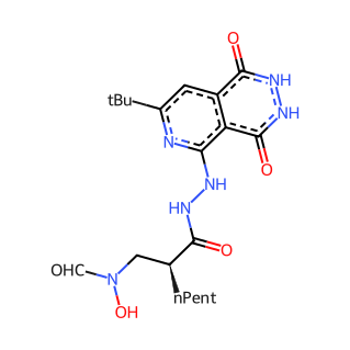 CCCCC[C@@H](CN(O)C=O)C(=O)NNc1nc(C(C)(C)C)cc2c(=O)[nH][nH]c(=O)c12